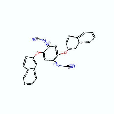 N#C/N=C1C=C(Oc2ccc3ccccc3c2)/C(=N\C#N)C=C/1Oc1ccc2ccccc2c1